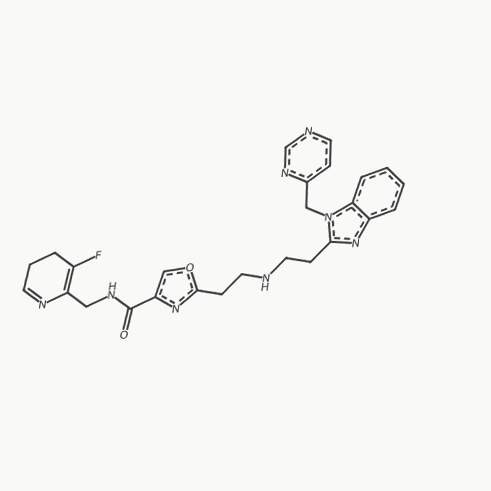 O=C(NCC1=C(F)CCC=N1)c1coc(CCNCCc2nc3ccccc3n2Cc2ccncn2)n1